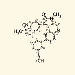 C#Cc1cncc(-c2ccc3ncc4c(c3c2)n(-c2ccc(C(C)(C)C#N)cc2)c(=O)n4C)c1